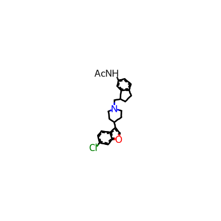 CC(=O)Nc1ccc2c(c1)C(CN1CCC(c3coc4cc(Cl)ccc34)CC1)CC2